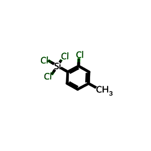 Cc1ccc([Si](Cl)(Cl)Cl)c(Cl)c1